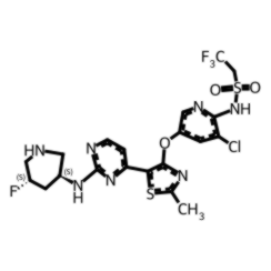 Cc1nc(Oc2cnc(NS(=O)(=O)CC(F)(F)F)c(Cl)c2)c(-c2ccnc(N[C@@H]3CNC[C@@H](F)C3)n2)s1